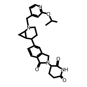 CC(C)Oc1cc(CN2CCC(c3ccc4c(c3)CN(C3CCC(=O)NC3=O)C4=O)C3CC32)ccn1